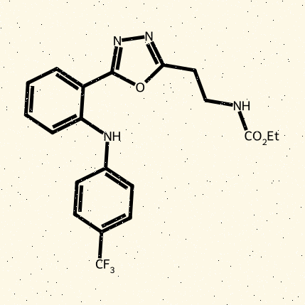 CCOC(=O)NCCc1nnc(-c2ccccc2Nc2ccc(C(F)(F)F)cc2)o1